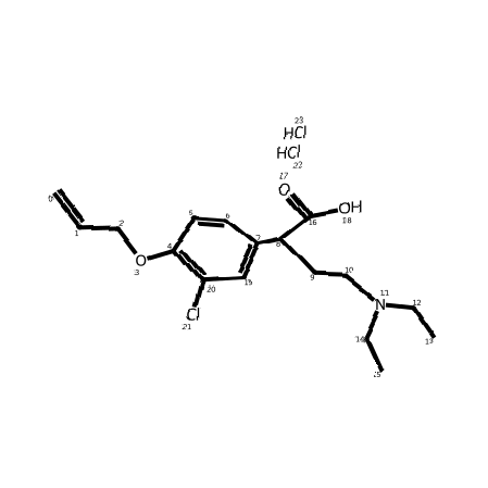 C=CCOc1ccc(C(CCN(CC)CC)C(=O)O)cc1Cl.Cl.Cl